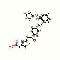 O=C(O)Cc1csc(CC(=O)c2ccc(CCc3ccccc3CCC3CCCC3)cc2)n1